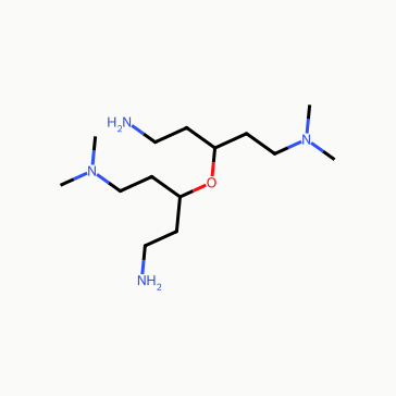 CN(C)CCC(CCN)OC(CCN)CCN(C)C